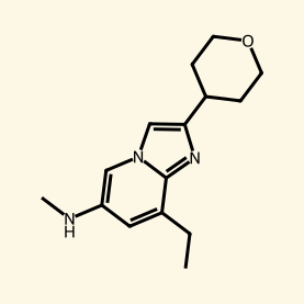 CCc1cc(NC)cn2cc(C3CCOCC3)nc12